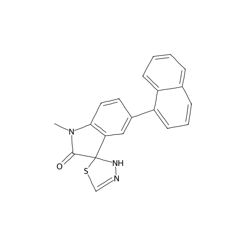 CN1C(=O)C2(NN=CS2)c2cc(-c3cccc4ccccc34)ccc21